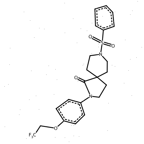 O=C1N(c2ccc(OCC(F)(F)F)cc2)CCC12CCN(S(=O)(=O)c1ccccc1)CC2